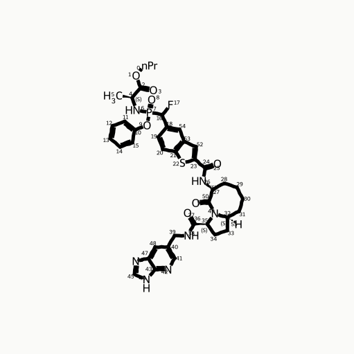 CCCOC(=O)[C@H](C)NP(=O)(Oc1ccccc1)C(F)c1ccc2sc(C(=O)N[C@H]3CCCC[C@H]4CC[C@@H](C(=O)NCc5cnc6[nH]cnc6c5)N4C3=O)cc2c1